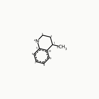 CC1CC[N]c2ccccc21